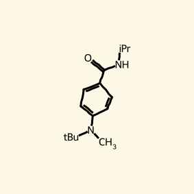 CC(C)NC(=O)c1ccc(N(C)C(C)(C)C)cc1